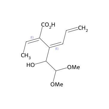 C=C/C=C(\C(=C/C)C(=O)O)C(O)C(OC)OC